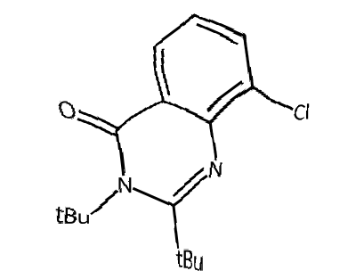 CC(C)(C)c1nc2c(Cl)cccc2c(=O)n1C(C)(C)C